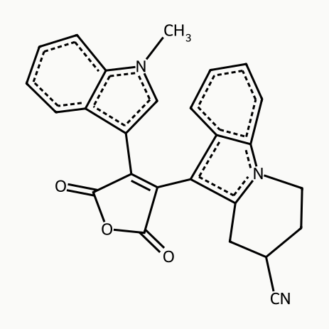 Cn1cc(C2=C(c3c4n(c5ccccc35)CCC(C#N)C4)C(=O)OC2=O)c2ccccc21